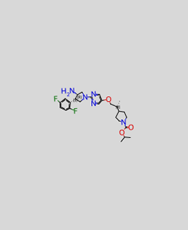 CC(C)OC(=O)N1CCC([C@@H](C)COc2cnc(N3C[C@H](c4cc(F)ccc4F)[C@@H](N)C3)nc2)CC1